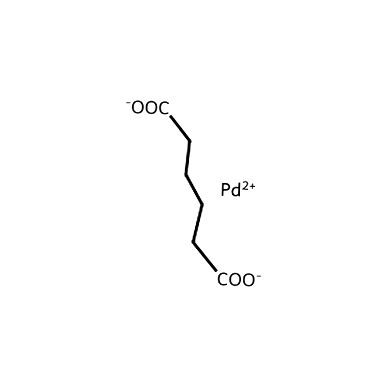 O=C([O-])CCCCC(=O)[O-].[Pd+2]